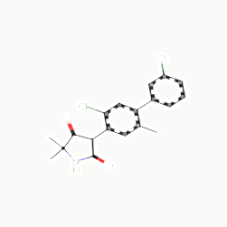 Cc1cc(C2C(=O)NC(C)(C)C2=O)c(Cl)cc1-c1cccc(Cl)c1